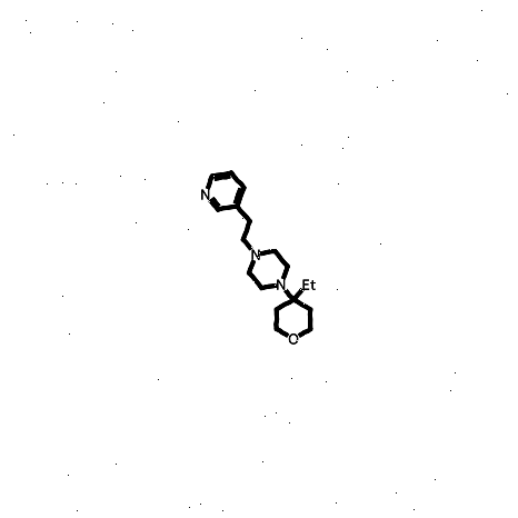 CCC1(N2CCN(CCc3cccnc3)CC2)CCOCC1